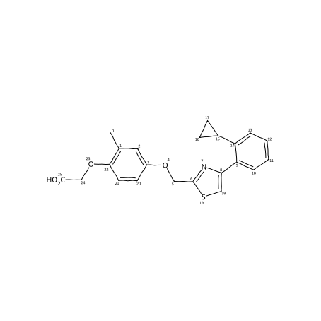 Cc1cc(OCc2nc(-c3ccccc3C3CC3)cs2)ccc1OCC(=O)O